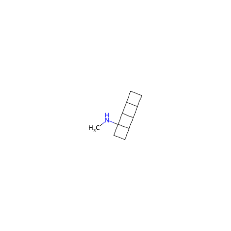 CNC12CCC1C1C3CCC3C12